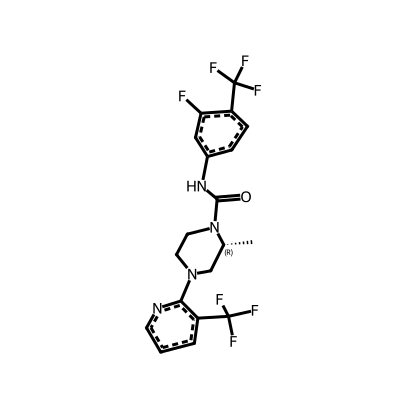 C[C@@H]1CN(c2ncccc2C(F)(F)F)CCN1C(=O)Nc1ccc(C(F)(F)F)c(F)c1